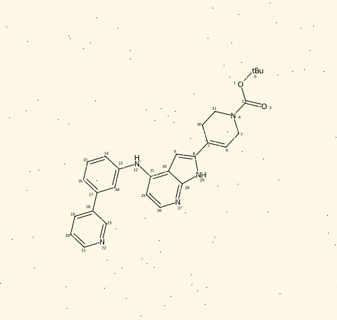 CC(C)(C)OC(=O)N1CC=C(c2cc3c(Nc4cccc(-c5cccnc5)c4)ccnc3[nH]2)CC1